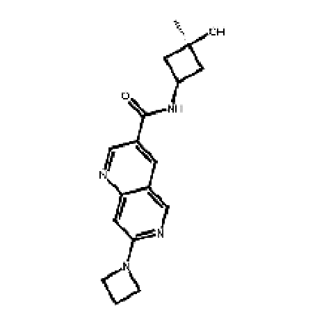 C[C@]1(O)C[C@@H](NC(=O)c2cnc3cc(N4CCC4)ncc3c2)C1